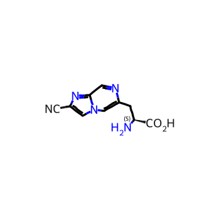 N#Cc1cn2cc(C[C@H](N)C(=O)O)ncc2n1